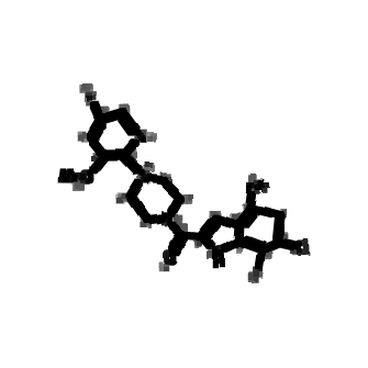 CCCc1cc(Cl)c(F)c2[nH]c(C(=O)N3CCN(c4ncc(F)cc4OC)CC3)cc12